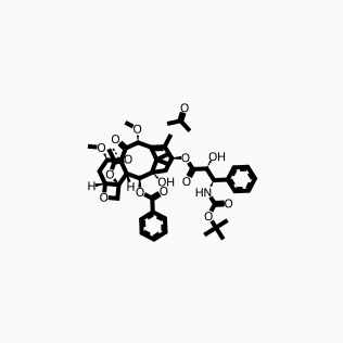 CC(C)=O.CO[C@H]1C(=O)[C@]2(C)[C@@H](OC)C[C@H]3OC[C@@]3(OC(C)=O)[C@H]2[C@H](OC(=O)c2ccccc2)[C@]2(O)C[C@H](OC(=O)[C@H](O)[C@@H](NC(=O)OC(C)(C)C)c3ccccc3)C(C)=C1C2(C)C